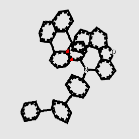 c1ccc(-c2cccc(-c3ccc(N(c4ccc(-c5cccc6cccc(-c7ccccc7)c56)cc4)c4cccc5oc6ccc7ccccc7c6c45)cc3)c2)cc1